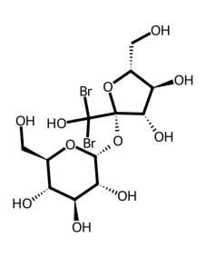 OC[C@H]1O[C@](O[C@H]2O[C@H](CO)[C@@H](O)[C@H](O)[C@H]2O)(C(O)(Br)Br)[C@@H](O)[C@@H]1O